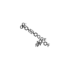 O=[N+]([O-])c1ccc(N2CCN(c3ccc(OCC4OCC(Cn5cncn5)(c5ccc(F)cc5F)O4)cc3)CC2)cc1